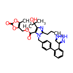 CCCc1nc(C(C)(C)O)c(C(=O)OCc2oc(=O)oc2C)n1Cc1ccc(-c2ccccc2-c2cn[nH]n2)cc1